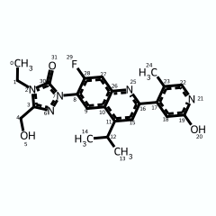 CCn1c(CO)nn(-c2cc3c(C(C)C)cc(-c4cc(O)ncc4C)nc3cc2F)c1=O